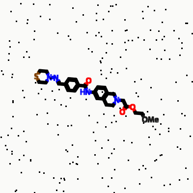 COCCOC(=O)CN1CCc2cc(NC(=O)c3ccc(/C=N/N4CCSCC4)cc3)ccc2C1